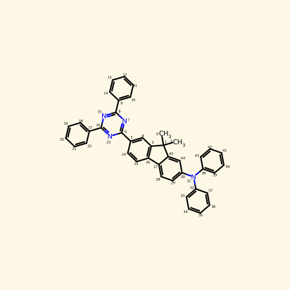 CC1(C)c2cc(-c3nc(-c4ccccc4)nc(-c4ccccc4)n3)ccc2-c2ccc(N(c3ccccc3)c3ccccc3)cc21